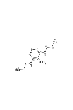 Cc1c(OCCC(C)(C)C)cccc1OCCC(C)(C)C